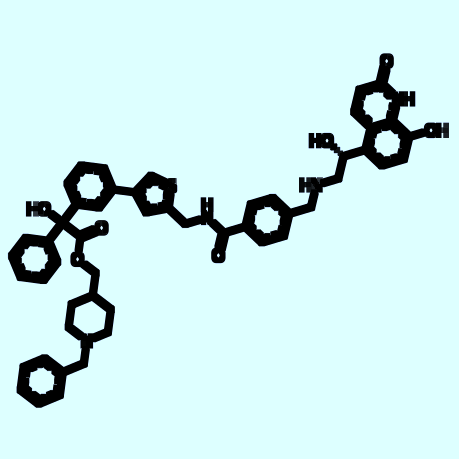 O=C(NCc1cc(-c2cccc(C(O)(C(=O)OCC3CCN(Cc4ccccc4)CC3)c3ccccc3)c2)cs1)c1ccc(CNC[C@H](O)c2ccc(O)c3[nH]c(=O)ccc23)cc1